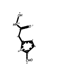 O=Cc1ccc(CC(=O)NO)o1